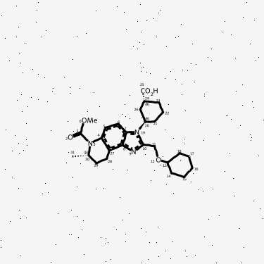 COC(=O)N1c2ccc3c(nc(COC4CCCCC4)n3[C@@H]3CCC[C@@H](C(=O)O)C3)c2CC[C@@H]1C